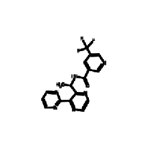 CC(NC(=O)c1cncc(C(F)(F)F)c1)c1nccnc1-c1ncccn1